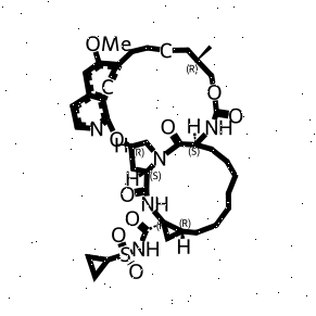 COc1cc2ccnc3c2cc1CCCC[C@@H](C)COC(=O)N[C@H]1CCCCCCC[C@@H]2C[C@@]2(C(=O)NS(=O)(=O)C2CC2)NC(=O)[C@@H]2C[C@H](CN2C1=O)O3